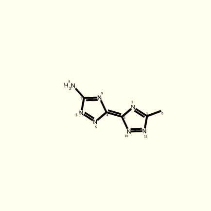 CC1=NC(=C2N=NC(N)=N2)N=N1